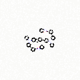 CC1(C)c2cc(-c3ccc(N(c4ccccc4)c4cccc(-c5cccc(-c6nc7ccccc7o6)c5)c4)cc3)ccc2-c2ccc(N(c3ccccc3)c3cccc(-c4cccc(-c5nc6ccccc6o5)c4)c3)cc21